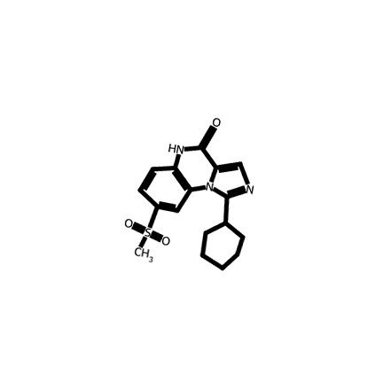 CS(=O)(=O)c1ccc2[nH]c(=O)c3cnc(C4CCCCC4)n3c2c1